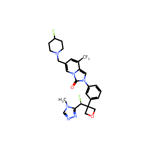 Cn1cnnc1[C@@H](F)C1(c2cccc(-n3cc4c(C(F)(F)F)cc(CN5CCC(F)CC5)cn4c3=O)c2)COC1